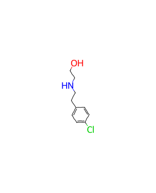 OCCNCCc1ccc(Cl)cc1